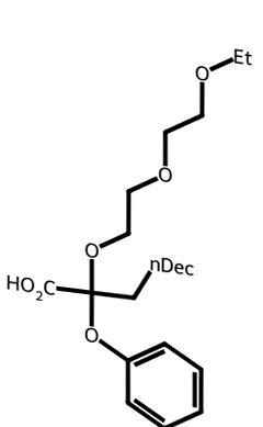 CCCCCCCCCCCC(OCCOCCOCC)(Oc1ccccc1)C(=O)O